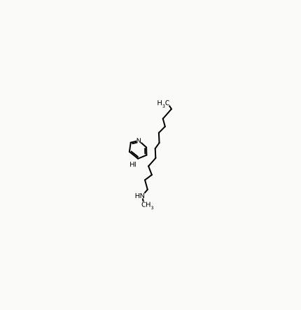 CCCCCCCCCCCCNC.I.c1ccncc1